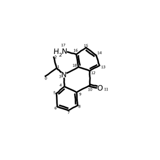 CC(C)n1c2ccccc2c(=O)c2cccc(N)c21